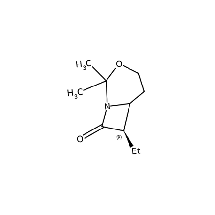 CC[C@H]1C(=O)N2C1CCOC2(C)C